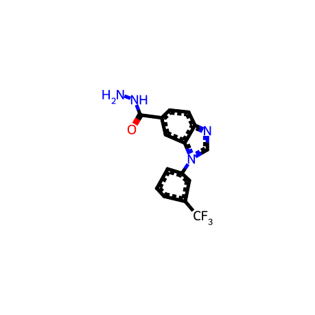 NNC(=O)c1ccc2ncn(-c3cccc(C(F)(F)F)c3)c2c1